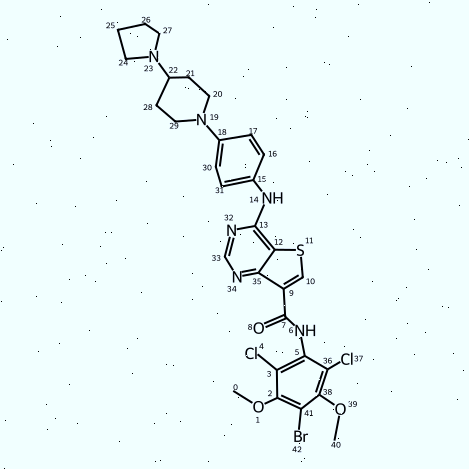 COc1c(Cl)c(NC(=O)c2csc3c(Nc4ccc(N5CCC(N6CCCC6)CC5)cc4)ncnc23)c(Cl)c(OC)c1Br